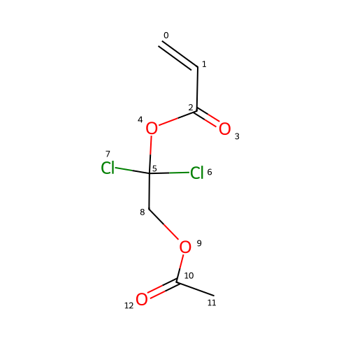 C=CC(=O)OC(Cl)(Cl)COC(C)=O